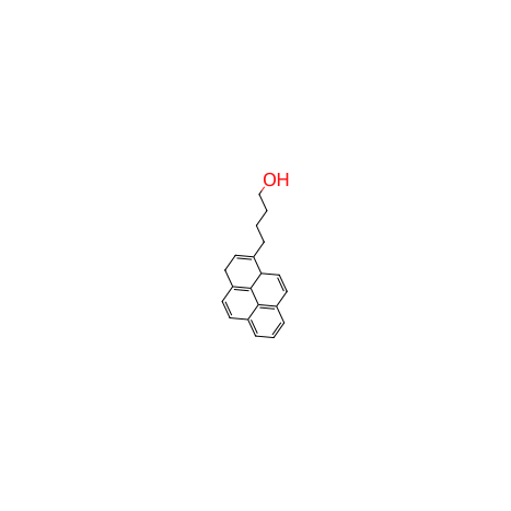 OCCCCC1=CCc2ccc3cccc4c3c2C1C=C4